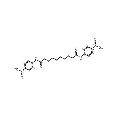 O=C(CCCCCCCCC(=O)Oc1ccc([N+](=O)[O-])cc1)Oc1ccc([N+](=O)[O-])cc1